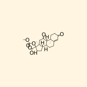 COC(=O)O[C@]1(C(=O)O)CC[C@H]2[C@@H]3CCC4=CC(=O)CC[C@]4(C)[C@H]3C(=O)C[C@@]21C